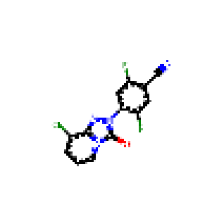 N#Cc1cc(F)c(-n2nc3c(Cl)cccn3c2=O)cc1F